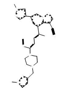 C=N/C(=C\C=C(/C)c1cc(-c2cnn(C)c2)cn2ncc(C#N)c12)N1CCN(Cc2ccn(C)n2)CC1